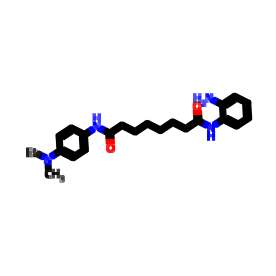 CCN(C)c1ccc(NC(=O)CCCCCCC(=O)Nc2ccccc2N)cc1